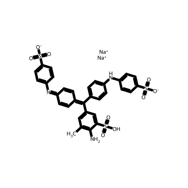 Cc1cc(C(=C2C=CC(=Nc3ccc(S(=O)(=O)[O-])cc3)C=C2)c2ccc(Nc3ccc(S(=O)(=O)[O-])cc3)cc2)cc(S(=O)(=O)O)c1N.[Na+].[Na+]